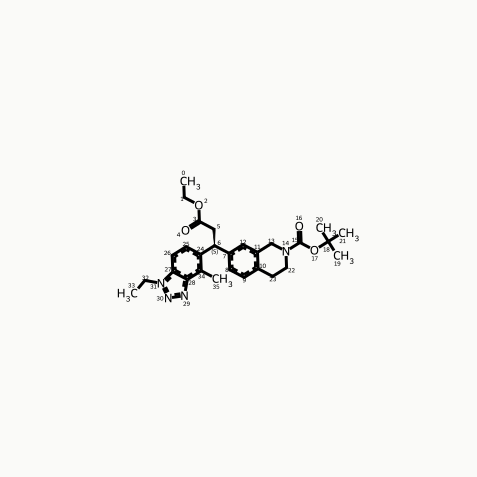 CCOC(=O)C[C@@H](c1ccc2c(c1)CN(C(=O)OC(C)(C)C)CC2)c1ccc2c(nnn2CC)c1C